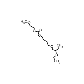 CCOC(CC)COCCCCOC(=O)OCCOC